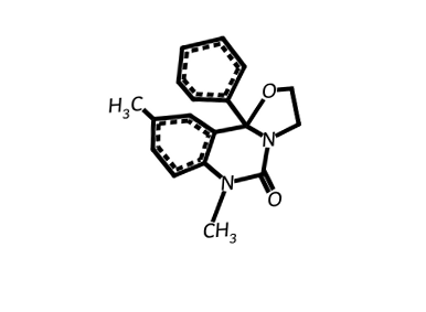 Cc1ccc2c(c1)C1(c3ccccc3)OCCN1C(=O)N2C